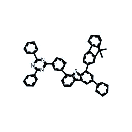 CC1(C)c2ccccc2-c2ccc(-c3cc(-c4ccccc4)cc4c3sc3c(-c5cccc(-c6nc(-c7ccccc7)nc(-c7ccccc7)n6)c5)cccc34)cc21